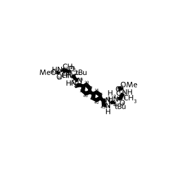 COC(=O)NC(C)(C)C(=O)N[C@H](c1nc(-c2ccc(-c3ccc(-c4c[nH]c([C@@H](NC(=O)C(C)(C)NC(=O)OC)C(C)(C)C)n4)cc3)cc2)c[nH]1)C(C)(C)C